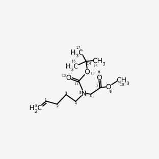 C=CCCCN(CC(=O)OC)C(=O)OC(C)(C)C